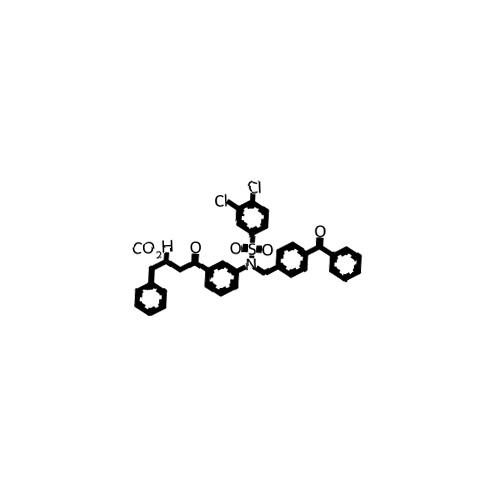 O=C(CC(Cc1ccccc1)C(=O)O)c1cccc(N(Cc2ccc(C(=O)c3ccccc3)cc2)S(=O)(=O)c2ccc(Cl)c(Cl)c2)c1